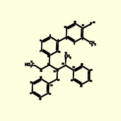 Cc1cc(-c2cccc(C(CC(=O)O)N(Cc3ccccc3)[C@H](C)c3ccccc3)c2)ccc1F